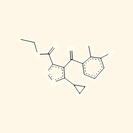 CCOC(=O)c1noc(C2CC2)c1C(=O)c1cccc(Br)c1C